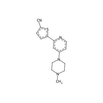 CN1CCN(c2ccnc(-c3ccc(C#N)s3)c2)CC1